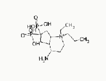 CCC[N+]1(CC)CCC(N)C2CC(P(=O)(O)O)(P(=O)(O)O)CC21